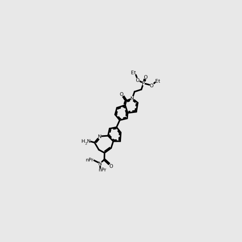 CCCN(CCC)C(=O)C1=Cc2ccc(-c3ccc4c(=O)n(CCP(=O)(OCC)OCC)ccc4c3)cc2N=C(N)C1